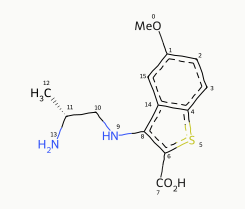 COc1ccc2sc(C(=O)O)c(NC[C@@H](C)N)c2c1